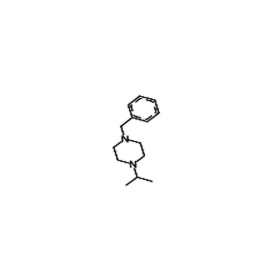 CC(C)N1CCN(Cc2ccccc2)CC1